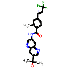 Cc1cc(/C=C/C(F)(F)F)ccc1C(=O)Nc1cnc2cc(C(C)(C)O)cnc2c1